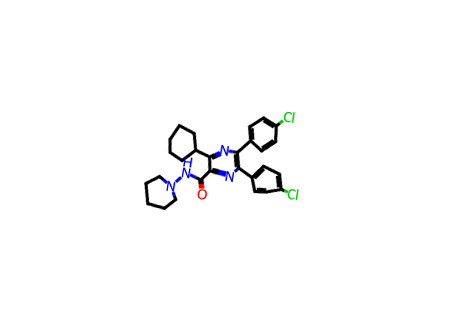 O=C(NN1CCCCC1)c1nc(-c2ccc(Cl)cc2)c(-c2ccc(Cl)cc2)nc1C1CCCCC1